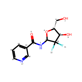 O=C(NC1O[C@H](CO)[C@@H](O)C1(F)F)c1cccnc1